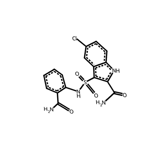 NC(=O)c1ccccc1NS(=O)(=O)c1c(C(N)=O)[nH]c2ccc(Cl)cc12